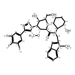 CO[C@@H]1[C@@H](n2cc(-c3cc(F)c(F)c(F)c3)nn2)[C@@H](O)[C@@H](CO)O[C@H]1C(=O)N(Cc1cc2ccccc2n1C)[C@H]1CCCC[C@@H]1O